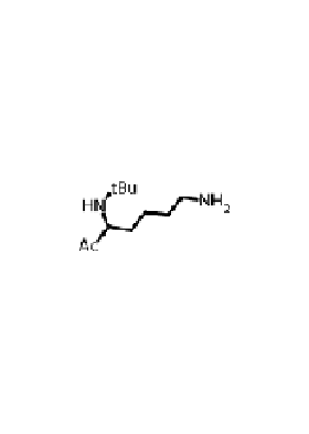 CC(=O)C(CCCCN)NC(C)(C)C